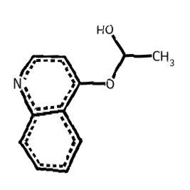 CC(O)Oc1ccnc2ccccc12